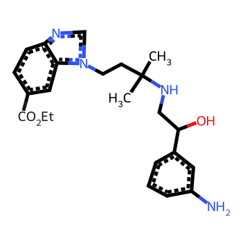 CCOC(=O)c1ccc2ncn(CCC(C)(C)NCC(O)c3cccc(N)c3)c2c1